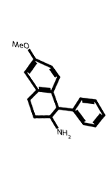 COc1ccc2c(c1)CCC(N)C2c1ccccc1